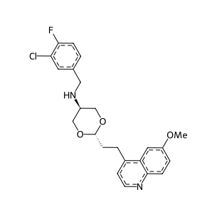 COc1ccc2nccc(CC[C@H]3OC[C@H](NCc4ccc(F)c(Cl)c4)CO3)c2c1